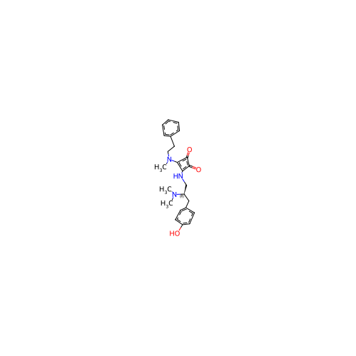 CN(CCc1ccccc1)c1c(NC[C@@H](Cc2ccc(O)cc2)N(C)C)c(=O)c1=O